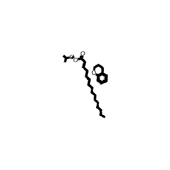 CCCCCCCCCCCCCCCC(=O)OOC(C)C.c1ccc2c(c1)CCCO2